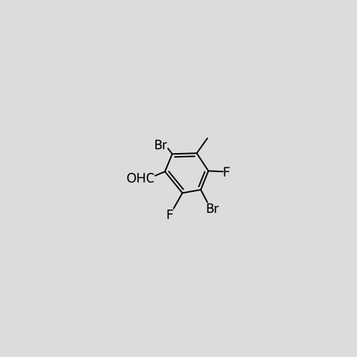 Cc1c(F)c(Br)c(F)c(C=O)c1Br